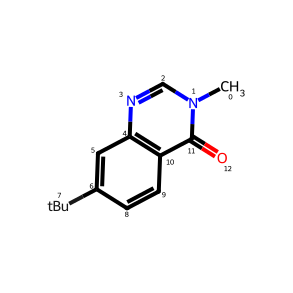 Cn1cnc2cc(C(C)(C)C)ccc2c1=O